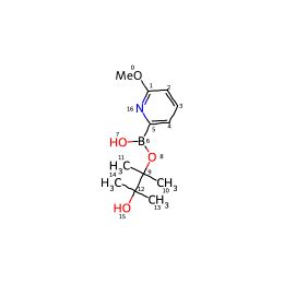 COc1cccc(B(O)OC(C)(C)C(C)(C)O)n1